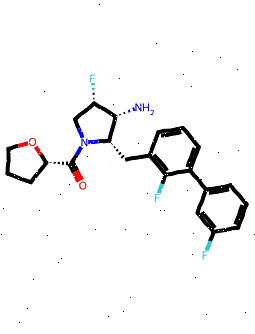 N[C@H]1[C@@H](F)CN(C(=O)[C@@H]2CCCO2)[C@H]1Cc1cccc(-c2cccc(F)c2)c1F